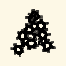 c1ccc(-n2c3ccccc3c3c(N(c4cccc5c4-c4ccccc4C54C5CC6CC(C5)CC4C6)c4cccc5c4oc4ccccc45)cccc32)cc1